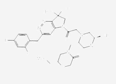 COC[C@@H]1CN(C[C@H]2CN[C@H](C)CN2CC(=O)N2CC(C)(C)c3nnc(Cc4ccc(F)cc4C)cc32)C(=O)CO1